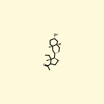 CC[C@@]1(C)C(C(C)=O)CC[C@@H]1[C@H]1CC[C@@H]2C[C@@H](O)CC[C@@]2(C)C1